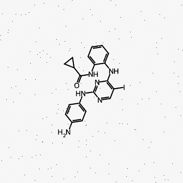 Nc1ccc(Nc2ncc(I)c(Nc3ccccc3NC(=O)C3CC3)n2)cc1